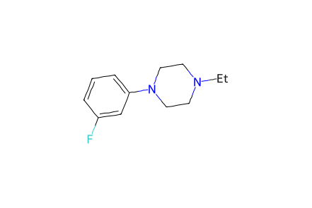 CCN1CCN(c2cccc(F)c2)CC1